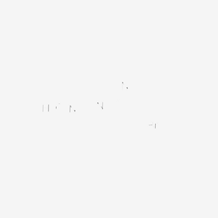 CN1CCN(c2cc(Br)c3ccccc3n2)CC1